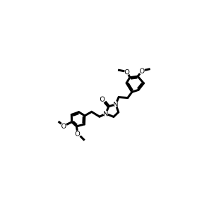 COc1ccc(CCN2CCN(CCc3ccc(OC)c(OC)c3)C2=O)cc1OC